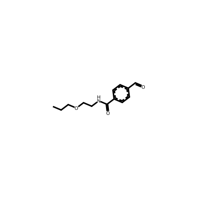 CCCOCCNC(=O)c1ccc(C=O)cc1